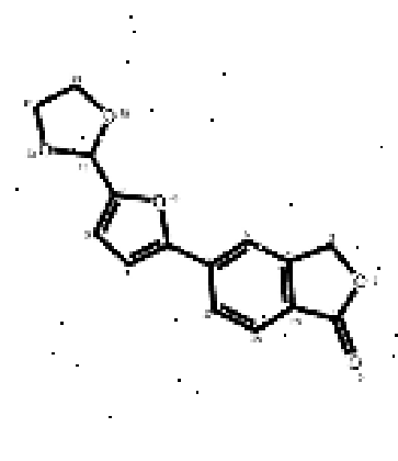 O=C1OCc2cc(-c3ccc(C4OCCO4)o3)ccc21